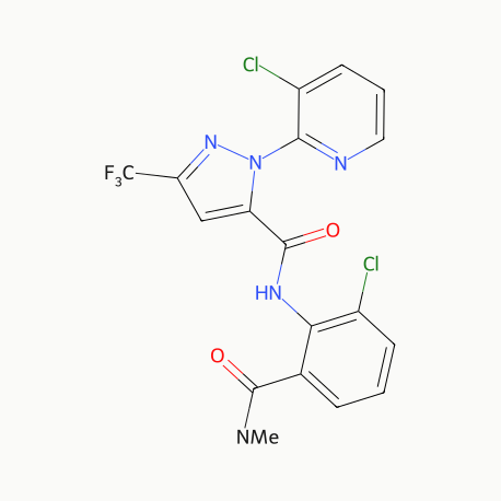 CNC(=O)c1cccc(Cl)c1NC(=O)c1cc(C(F)(F)F)nn1-c1ncccc1Cl